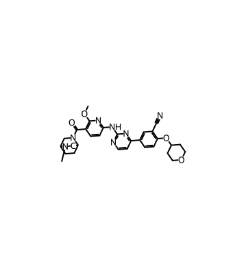 COc1nc(Nc2nccc(-c3ccc(OC4CCOCC4)c(C#N)c3)n2)ccc1C(=O)N1CC2CCC1CN2C